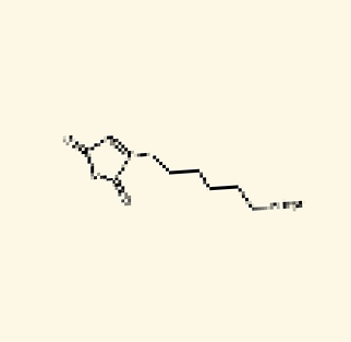 CCCCCCCCCCCCCC1=CC(=O)OC1=O